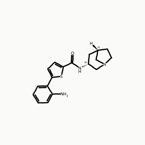 Nc1ccccc1-c1ccc(C(=O)N[C@@H]2C[C@@H]3CCN(C3)C2)s1